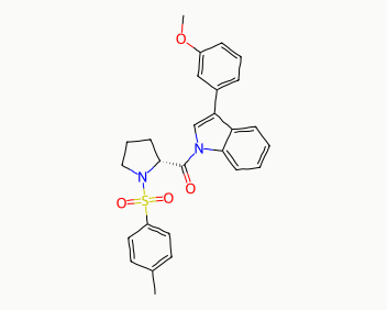 COc1cccc(-c2cn(C(=O)[C@H]3CCCN3S(=O)(=O)c3ccc(C)cc3)c3ccccc23)c1